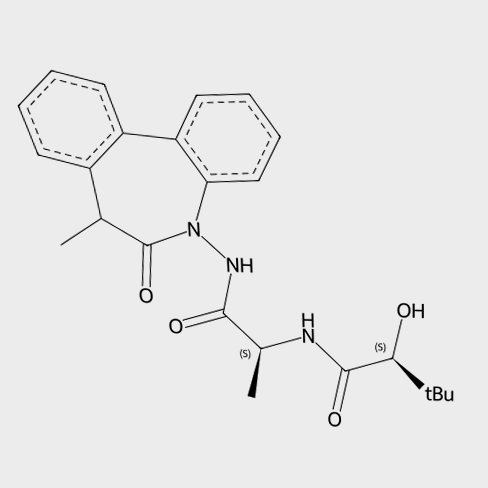 CC1C(=O)N(NC(=O)[C@H](C)NC(=O)[C@@H](O)C(C)(C)C)c2ccccc2-c2ccccc21